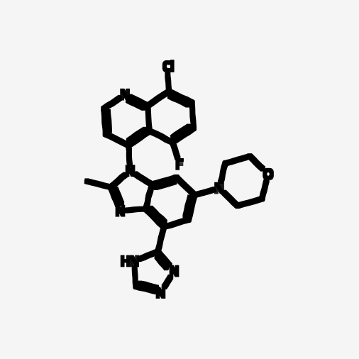 Cc1nc2c(-c3nnc[nH]3)cc(N3CCOCC3)cc2n1-c1ccnc2c(Cl)ccc(F)c12